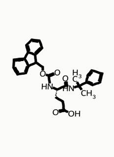 CC(C)(NC(=O)[C@H](CCC(=O)O)NC(=O)OCC1c2ccccc2-c2ccccc21)c1ccccc1